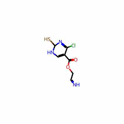 N=CCOC(=O)C1=CNC(S)N=C1Cl